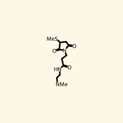 CNCCNC(=O)CCN1C(=O)CC(SC)C1=O